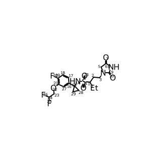 CCC(CCN1CC(=O)NC1=O)S(=O)(=O)NC1(c2ccc(F)c(OCC(F)F)c2)CC1